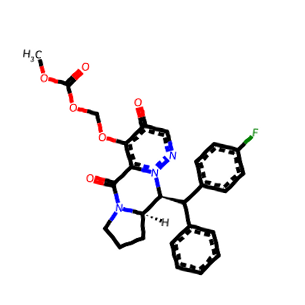 COC(=O)OCOc1c2n(ncc1=O)[C@@H](C(c1ccccc1)c1ccc(F)cc1)[C@H]1CCCN1C2=O